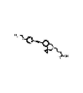 CCOc1ccc(C#Cc2ccc3c(c2)C2(CC2)CN(CCCC(=O)O)C3)nc1